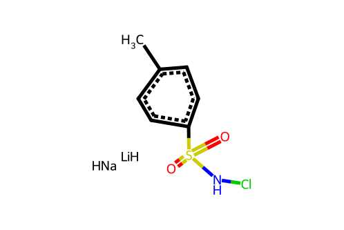 Cc1ccc(S(=O)(=O)NCl)cc1.[LiH].[NaH]